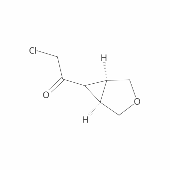 O=C(CCl)C1[C@H]2COC[C@@H]12